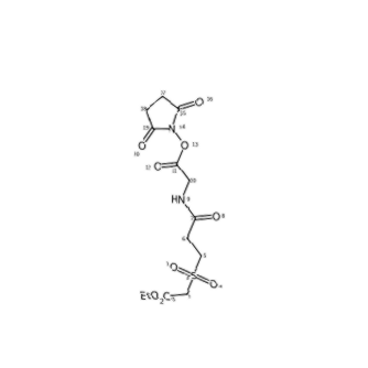 CCOC(=O)CS(=O)(=O)CCC(=O)NCC(=O)ON1C(=O)CCC1=O